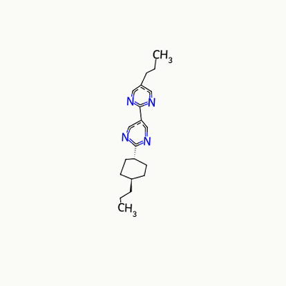 CCCc1cnc(-c2cnc([C@H]3CC[C@H](CCC)CC3)nc2)nc1